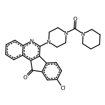 O=C1c2cc(Cl)ccc2-c2c(N3CCN(C(=O)N4CCCCC4)CC3)nc3ccccc3c21